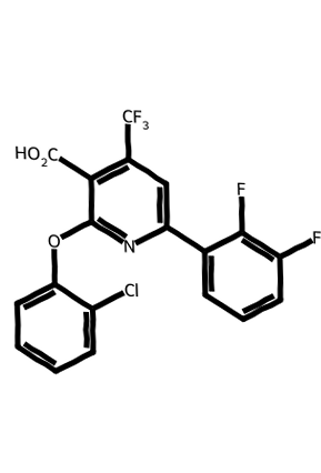 O=C(O)c1c(C(F)(F)F)cc(-c2cccc(F)c2F)nc1Oc1ccccc1Cl